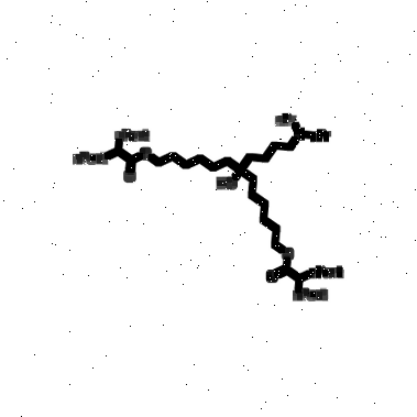 CCCCCC(CCCCC)C(=O)OCCCCCCC(O)(CCCCCCOC(=O)C(CCCCC)CCCCC)CCCCN(CCC)CCC